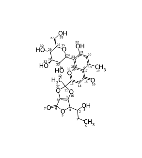 CCC(O)C1OC(=O)C2=C1OC(C)(c1cc(=O)c3c(C)cc(O)c(C4O[C@H](CO)[C@@H](O)[C@H](O)[C@H]4O)c3o1)O2